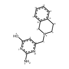 Nc1nc(O)cc(CN2CCc3ccccc3C2)n1